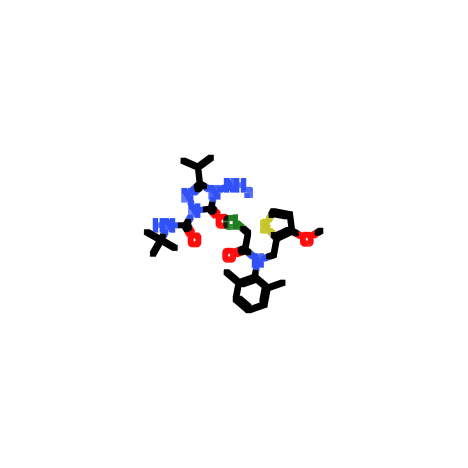 CC(C)c1nn(C(=O)NC(C)(C)C)c(=O)n1N.COc1ccsc1CN(C(=O)CCl)c1c(C)cccc1C